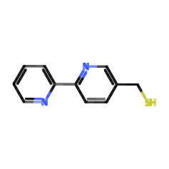 SCc1ccc(-c2ccccn2)nc1